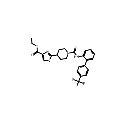 CCOC(=O)c1csc(C2CCN(C(=O)Nc3ccccc3-c3ccc(C(F)(F)F)cc3)CC2)n1